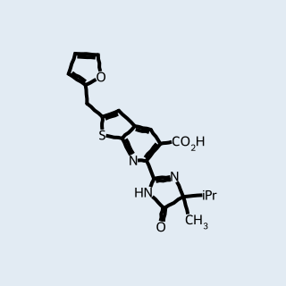 CC(C)C1(C)N=C(c2nc3sc(Cc4ccco4)cc3cc2C(=O)O)NC1=O